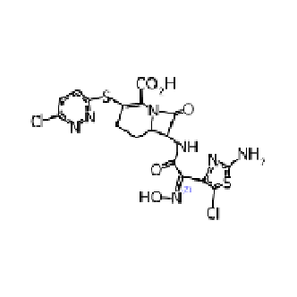 Nc1nc(/C(=N/O)C(=O)NC2C(=O)N3C(C(=O)O)=C(Sc4ccc(Cl)nn4)CCC23)c(Cl)s1